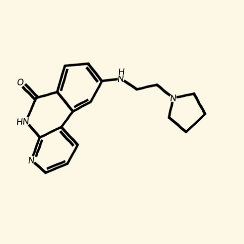 O=c1[nH]c2ncccc2c2cc(NCCN3CCCC3)ccc12